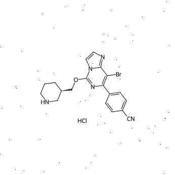 Cl.N#Cc1ccc(-c2nc(OC[C@@H]3CCCNC3)n3ccnc3c2Br)cc1